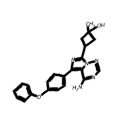 CC1(O)CC(c2nc(-c3ccc(Oc4ccccc4)cc3)c3c(N)ncnn23)C1